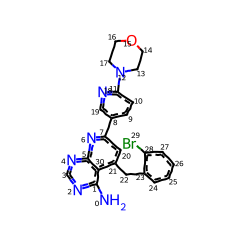 Nc1ncnc2nc(-c3ccc(N4CCOCC4)nc3)cc(Cc3ccccc3Br)c12